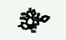 COC(=O)O[C@@]12CO[C@@H]1C[C@H](O)[C@@]1(C)C(O)[C@H](OC(C)=O)C3=C(C)[C@@H](O)C[C@@](O)([C@@H](OC(=O)c4ccccc4)C12)C3(C)C